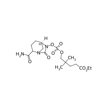 CCOC(=O)CCC(C)(C)COS(=O)(=O)ON1C(=O)N2C[C@H]1CCC2C(N)=O